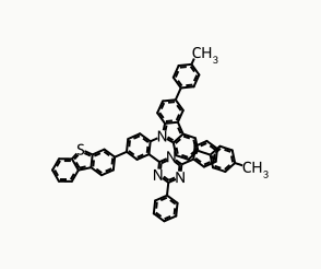 Cc1ccc(-c2ccc3c(c2)c2cc(-c4ccc(C)cc4)ccc2n3-c2ccc(-c3ccc4c(c3)sc3ccccc34)cc2-c2nc(-c3ccccc3)nc(-c3ccccc3)n2)cc1